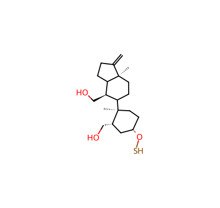 C=C1CCC2[C@H](CO)C([C@@]3(C)CC[C@H](OS)C[C@@H]3CO)CC[C@]12C